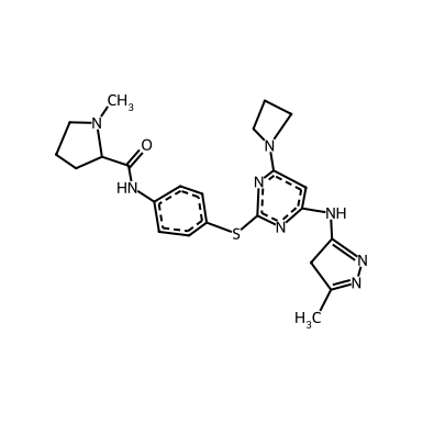 CC1=NN=C(Nc2cc(N3CCC3)nc(Sc3ccc(NC(=O)C4CCCN4C)cc3)n2)C1